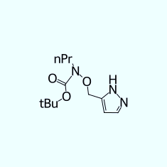 CCCN(OCc1ccn[nH]1)C(=O)OC(C)(C)C